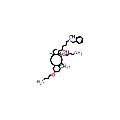 CC1C[C@H](OCCCN)C2(C)[C@H](CCCC3C[C@H](OCCCN)CCC13C)CC[C@@H]2[C@H](P)CCCN(C)Cc1ccccc1